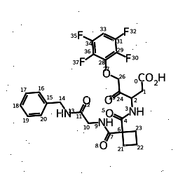 O=C(O)CC(NC(=O)C1(C(=O)NCC(=O)NCc2ccccc2)CCC1)C(=O)COc1c(F)c(F)cc(F)c1F